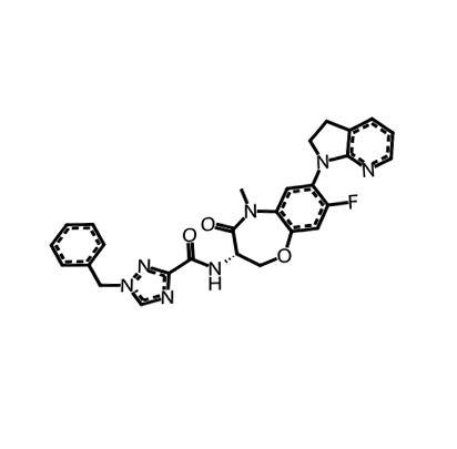 CN1C(=O)[C@@H](NC(=O)c2ncn(Cc3ccccc3)n2)COc2cc(F)c(N3CCc4cccnc43)cc21